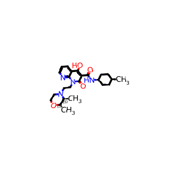 CC1CCC(NC(=O)c2c(O)c3cccnc3n(CCN3CCO[C@@H](C)[C@@H]3C)c2=O)CC1